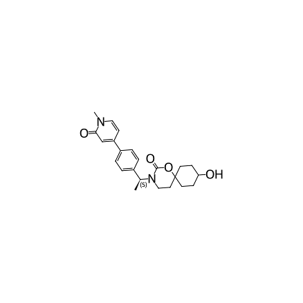 C[C@@H](c1ccc(-c2ccn(C)c(=O)c2)cc1)N1CCC2(CCC(O)CC2)OC1=O